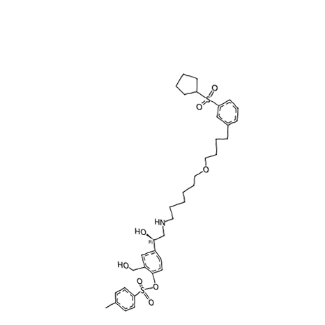 Cc1ccc(S(=O)(=O)Oc2ccc([C@@H](O)CNCCCCCCOCCCCc3cccc(S(=O)(=O)C4CCCC4)c3)cc2CO)cc1